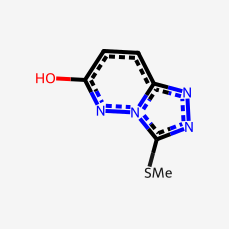 CSc1nnc2ccc(O)nn12